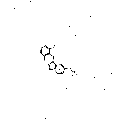 Cc1cccc(F)c1Cn1ccc2ccc(CC(=O)O)cc21